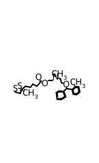 Cc1ccccc1C(OCCN(C)CCOC(=O)CCCC[C@]1(C)CCSS1)c1ccccc1